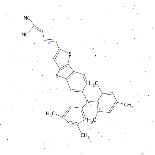 Cc1cc(C)cc(N(c2ccc3c(c2)sc2cc(/C=C/C=C(C#N)C#N)sc23)c2c(C)cc(C)cc2C)c1